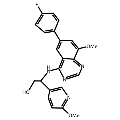 COc1ccc(C(CO)Nc2ncnc3c(OC)cc(-c4ccc(F)cc4)cc23)cn1